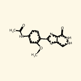 COc1cc(NC(C)=O)ccc1-c1nc2c[nH][nH]c(=O)c-2n1